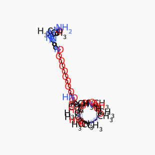 CO[C@H]1C[C@@H]2CC[C@@H](C)[C@@](O)(O2)C(=O)C(=O)N2CCCC[C@H]2C(=O)O[C@H]([C@H](C)C[C@@H]2CC[C@@H](OC(=O)NCCOCCOCCOCCOCCOCCOCCOCCOCCC(=O)N3CCc4cc(Cn5nc(-c6ccc7oc(N)nc7c6)c6c(N(C)C)ncnc65)ccc4C3)[C@H](OC)C2)C[C@@H](O)[C@H](C)/C=C(\C)[C@@H](O)[C@@H](OC)C(=O)[C@H](C)C[C@H](C)/C=C/C=C/C=C/1C